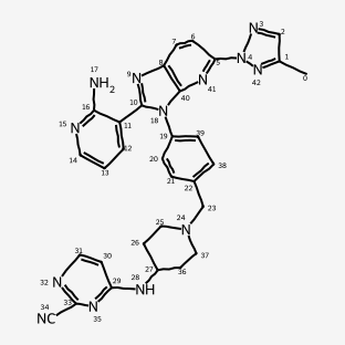 Cc1cnn(-c2ccc3nc(-c4cccnc4N)n(-c4ccc(CN5CCC(Nc6ccnc(C#N)n6)CC5)cc4)c3n2)n1